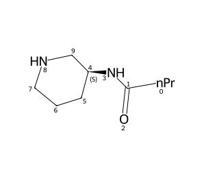 CCCC(=O)N[C@H]1CCCNC1